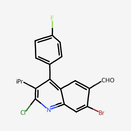 CC(C)c1c(Cl)nc2cc(Br)c(C=O)cc2c1-c1ccc(F)cc1